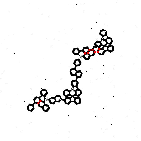 c1ccc(-c2ccc(-c3ccccc3N(c3ccc(-c4cccc5c(-c6ccc7c(c6)c6cccc8c6n7-c6ccccc6C86c7ccccc7-c7ccc(-c8ccc9cc(N(c%10ccccc%10-c%10ccc(-c%11ccccc%11)cc%10)c%10cccc%11ccccc%10%11)ccc9c8)cc76)cccc45)cc3)c3ccc4cc(-c5ccc6c(c5)C5(c7ccccc7-6)c6ccccc6-n6c7ccccc7c7cccc5c76)ccc4c3)cc2)cc1